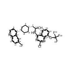 CC(C[C@H]1CC[C@@H](c2ccnc3ccc(F)cc32)CC1)Nc1nc(Cl)nc2c(OC(F)(F)F)cccc12